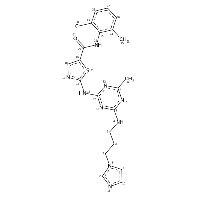 Cc1nc(NCCCn2ccnc2)nc(Nc2ncc(C(=O)Nc3c(C)cccc3Cl)s2)n1